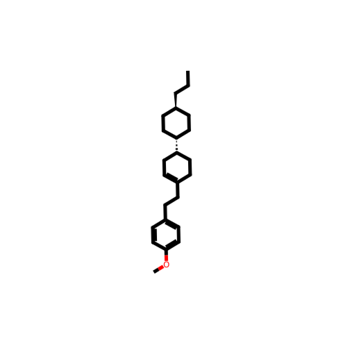 CCC[C@H]1CC[C@H](C2CC=C(CCc3ccc(OC)cc3)CC2)CC1